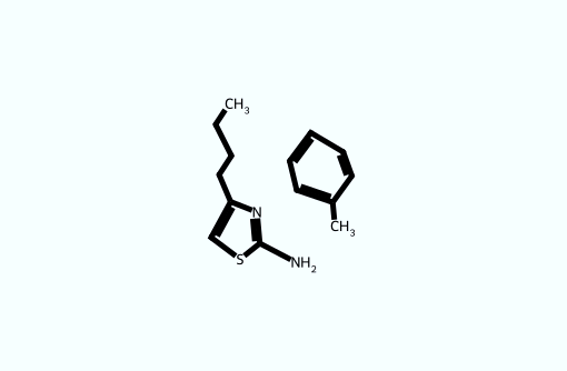 CCCCc1csc(N)n1.Cc1ccccc1